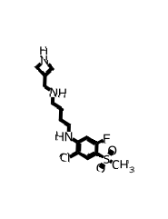 CS(=O)(=O)c1cc(Cl)c(NCCCCNCC2CNC2)cc1F